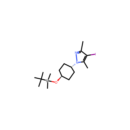 Cc1nn([C@H]2CC[C@H](O[Si](C)(C)C(C)(C)C)CC2)c(C)c1I